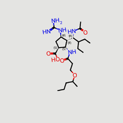 CCCC(C)OCCC(=O)N[C@H]1[C@@H]([C@H](NC(C)=O)C(CC)CC)[C@H](NC(=N)N)C[C@@H]1C(=O)O